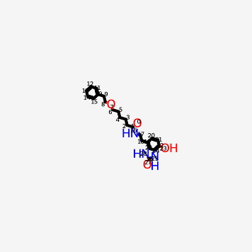 O=C(CCCCCOCCc1ccccc1)NCCc1ccc(O)c2[nH]c(=O)[nH]c12